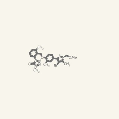 COCn1nc(-c2ccc(OCc3c(C)cccc3-n3nnn(C)c3=O)c(C)c2)c(Br)c1C